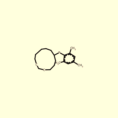 Cc1cc(C)c([P]C2CCCCCCCCCCC2)c(C)c1